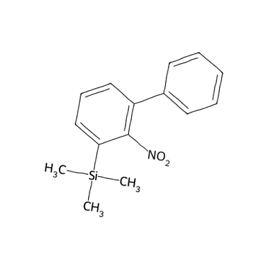 C[Si](C)(C)c1cccc(-c2ccccc2)c1[N+](=O)[O-]